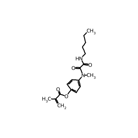 C=C(C)C(=O)Oc1ccc(N(C)C(=O)C(=O)NCCCCC)cc1